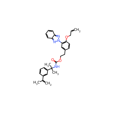 C=CCOc1ccc(CCOC(=O)NC(C)(C)c2cccc(C(=C)C)c2)cc1-n1nc2ccccc2n1